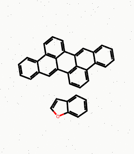 c1ccc2c(c1)cc1c3cccc4c5ccccc5cc(c5cccc2c51)c43.c1ccc2occc2c1